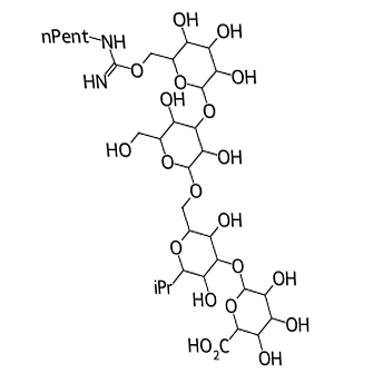 CCCCCNC(=N)OCC1OC(OC2C(O)C(CO)OC(OCC3OC(C(C)C)C(O)C(OC4OC(C(=O)O)C(O)C(O)C4O)C3O)C2O)C(O)C(O)C1O